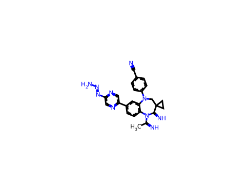 CC(=N)N1C(=N)C2(CC2)CN(c2ccc(C#N)cc2)c2cc(-c3cnc(N=NN)cn3)ccc21